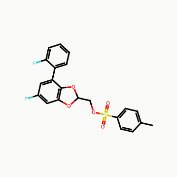 Cc1ccc(S(=O)(=O)OCC2Oc3cc(F)cc(-c4ccccc4F)c3O2)cc1